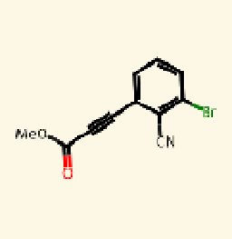 COC(=O)C#Cc1cccc(Br)c1C#N